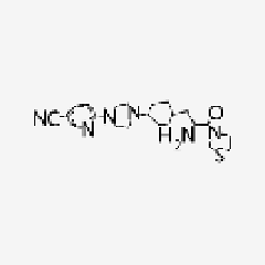 N#Cc1ccc(N2CCN(C3CCC(CC(N)C(=O)N4CCSC4)CC3)CC2)nc1